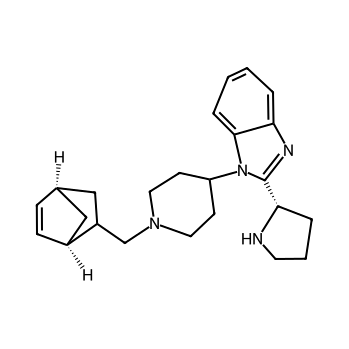 C1=C[C@H]2C[C@@H]1CC2CN1CCC(n2c([C@@H]3CCCN3)nc3ccccc32)CC1